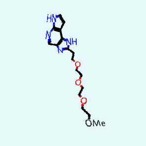 COCCOCCOCCOCCc1nc2cnc3[nH]ccc3c2[nH]1